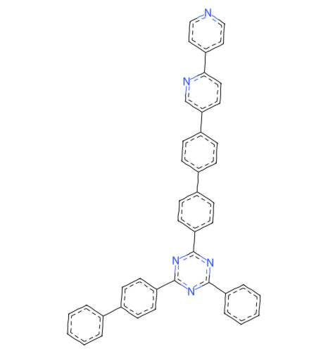 c1ccc(-c2ccc(-c3nc(-c4ccccc4)nc(-c4ccc(-c5ccc(-c6ccc(-c7ccncc7)nc6)cc5)cc4)n3)cc2)cc1